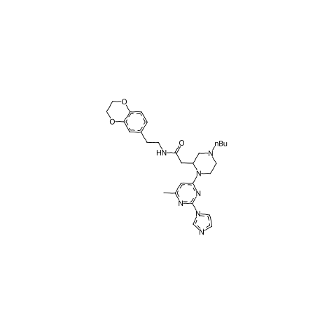 CCCCN1CCN(c2cc(C)nc(-n3ccnc3)n2)C(CC(=O)NCCc2ccc3c(c2)OCCO3)C1